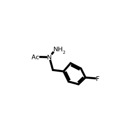 CC(=O)N(N)Cc1ccc(F)cc1